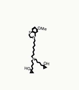 COc1ccc2c(c1)CN(CCCCCCCCN(CCCCC1(O)CC1)CCCCC1(O)CC1)CCS2